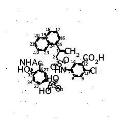 C=C(CS(=O)(=O)Nc1ccc(Cl)c(C(=O)O)c1)c1cccc2ccccc12.CC(=O)Nc1cc([As](=O)(O)O)ccc1O